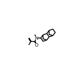 C=C(C)C(=O)N(C)C1CC2CC1C1C3CCC(C3)C21